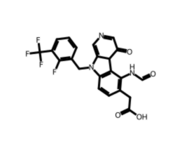 O=CNc1c(CC(=O)O)ccc2c1C1C(=O)C=NC=C1N2Cc1cccc(C(F)(F)F)c1F